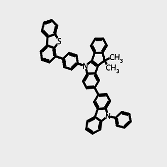 CC1(C)c2ccccc2-c2c1c1cc(-c3ccc4c(c3)c3ccccc3n4-c3ccccc3)ccc1n2-c1ccc(-c2cccc3c2sc2ccccc23)cc1